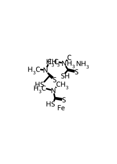 CN(C)C(=S)S.CN(C)C(=S)S.CN(C)C(=S)S.N.[Fe]